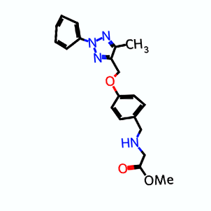 COC(=O)CNCc1ccc(OCc2nn(-c3ccccc3)nc2C)cc1